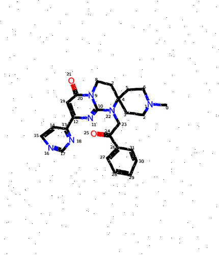 CN1CCC2(CC1)CCn1c(nc(-c3ccncn3)cc1=O)N2CC(=O)c1ccccc1